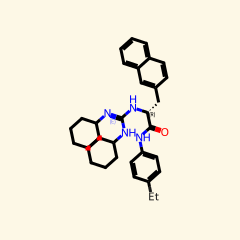 CCc1ccc(NC(=O)[C@@H](Cc2ccc3ccccc3c2)N/C(=N/C2CCCCC2)NC2CCCCC2)cc1